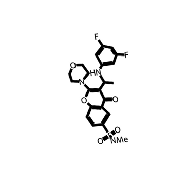 CNS(=O)(=O)c1ccc2oc(N3CCOCC3)c(C(C)Nc3cc(F)cc(F)c3)c(=O)c2c1